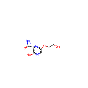 NC(=O)c1nc(OCCO)cnc1O